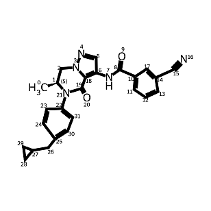 C[C@H]1Cn2ncc(NC(=O)c3cccc(C#N)c3)c2C(=O)N1c1ccc(CC2CC2)cc1